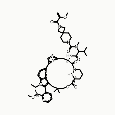 C=C(OC)C(=O)N1CC2(CCN(C(=O)N(C)C(C(=O)N[C@H]3Cc4nc(cs4)-c4ccc5c(c4)c(c(-c4cccnc4[C@H](C)OC)n5CC)CC(C)(C)COC(=O)[C@@H]4CCCN(N4)C3=O)C(C)C)CC2)C1